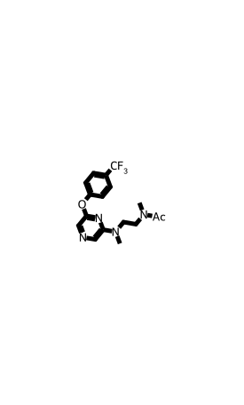 CC(=O)N(C)CCN(C)c1cncc(Oc2ccc(C(F)(F)F)cc2)n1